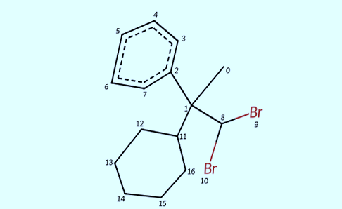 CC(c1ccccc1)(C(Br)Br)C1CCCCC1